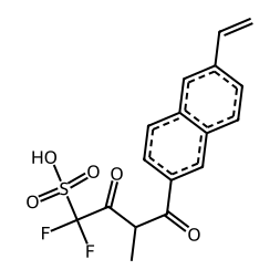 C=Cc1ccc2cc(C(=O)C(C)C(=O)C(F)(F)S(=O)(=O)O)ccc2c1